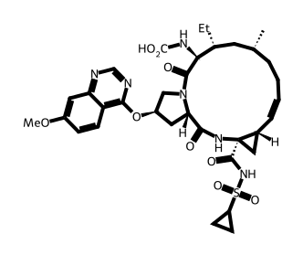 CC[C@@H]1C[C@H](C)CC/C=C\[C@@H]2C[C@@]2(C(=O)NS(=O)(=O)C2CC2)NC(=O)[C@@H]2C[C@@H](Oc3ncnc4cc(OC)ccc34)CN2C(=O)[C@H]1NC(=O)O